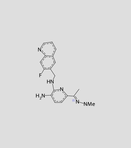 CN/N=C(\C)c1ccc(N)c(NCc2cc3cccnc3cc2F)n1